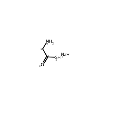 NCC(=O)S.[NaH]